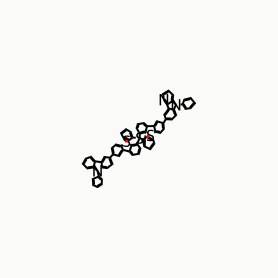 c1ccc(-n2c3ccccc3c3cc(-c4ccc5sc6c([Si](c7ccccc7)(c7ccccc7)c7cccc8c7sc7ccc(-c9ccc%10c(c9)c9ncccc9n%10-c9ccccc9)cc78)cccc6c5c4)ccc32)cc1